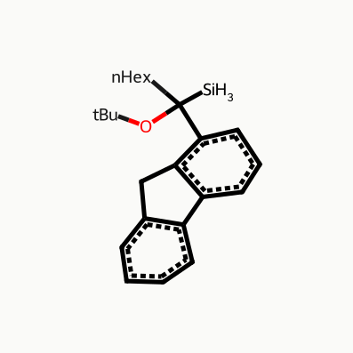 CCCCCCC([SiH3])(OC(C)(C)C)c1cccc2c1Cc1ccccc1-2